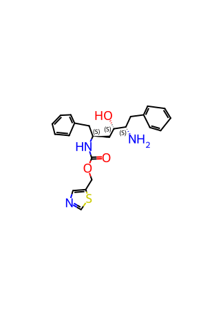 N[C@@H](Cc1ccccc1)[C@@H](O)C[C@H](Cc1ccccc1)NC(=O)OCc1cncs1